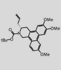 C=CC[C@@H]1Cc2c(c3ccc(OC)cc3c3cc(OC)c(OC)cc23)CN1C(=O)OC(C)(C)C